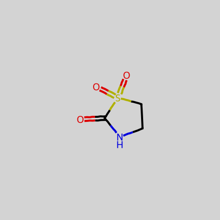 O=C1NCCS1(=O)=O